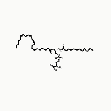 CCCCC/C=C\C/C=C\C/C=C\C/C=C\CCCCCC(=O)O[C@H](COC(=O)CCCCCCCCCCC)COP(=O)(O)OC[C@H](N)C(=O)O